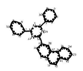 c1ccc(-c2nc(-c3ccccc3)nc(-c3ccc4ccc5ccccc5c4c3)n2)cc1